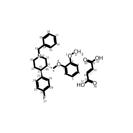 COc1ccccc1OC[C@H]1CN(Cc2ccccc2)CC[C@@H]1c1ccc(F)cc1.O=C(O)/C=C/C(=O)O